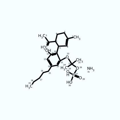 C=C(C)C1CCC(C)=CC1c1c(O)cc(CCCCC)cc1OC(C)(C)OP(=O)(O)O.N